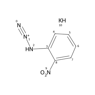 N#[N+]Nc1ccccc1[N+](=O)[O-].[KH]